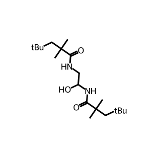 CC(C)(C)CC(C)(C)C(=O)NCC(O)NC(=O)C(C)(C)CC(C)(C)C